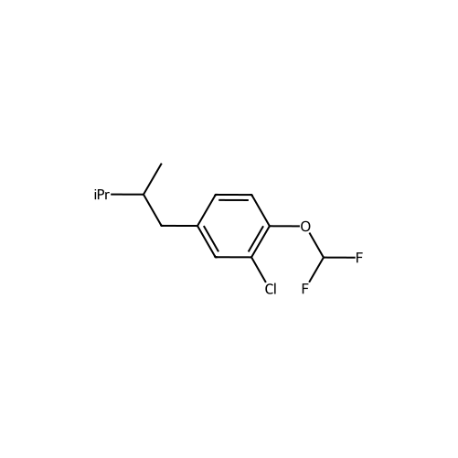 CC(C)C(C)Cc1ccc(OC(F)F)c(Cl)c1